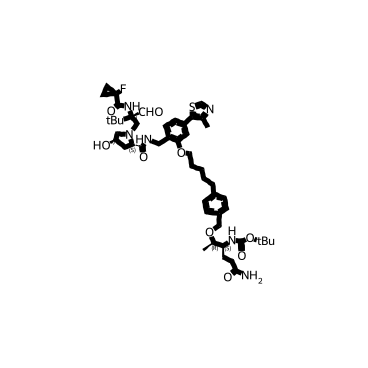 Cc1ncsc1-c1ccc(CNC(=O)[C@@H]2C[C@@H](O)CN2C[C@@](C=O)(NC(=O)C2(F)CC2)C(C)(C)C)c(OCCCCCc2ccc(CO[C@H](C)[C@H](CCC(N)=O)NC(=O)OC(C)(C)C)cc2)c1